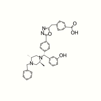 C[C@@H]1CN([C@H](c2ccc(-c3nnc(Cc4ccc(C(=O)O)cc4)o3)cc2)c2cccc(O)c2)[C@@H](C)CN1Cc1ccccc1